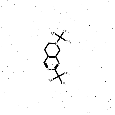 CC(C)(C)c1ncc2c(n1)CN(C(C)(C)C)CC2